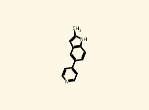 Cc1cc2cc(-c3ccncc3)ccc2[nH]1